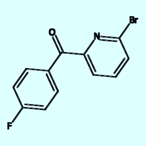 O=C(c1ccc(F)cc1)c1cccc(Br)n1